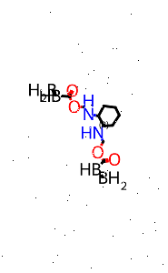 BBC(=O)OCNC1CCCC[C@H]1NCOC(=O)BB